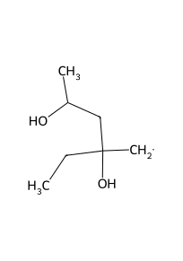 [CH2]C(O)(CC)CC(C)O